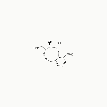 O=Cc1cccc2c1C[C@@H](O)[C@H](O)[C@@H](CO)OOC2